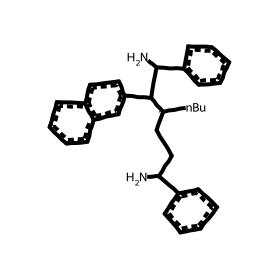 CCCC[C](CCC(N)c1ccccc1)C(c1ccc2ccccc2c1)C(N)c1ccccc1